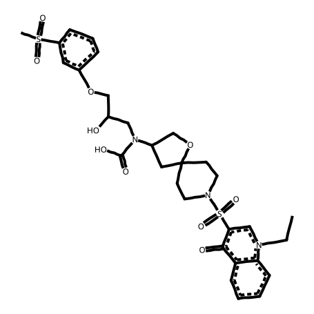 CCn1cc(S(=O)(=O)N2CCC3(CC2)CC(N(CC(O)COc2cccc(S(C)(=O)=O)c2)C(=O)O)CO3)c(=O)c2ccccc21